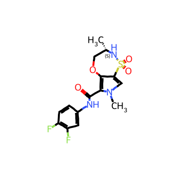 C[C@H]1COc2c(cn(C)c2C(=O)Nc2ccc(F)c(F)c2)S(=O)(=O)N1